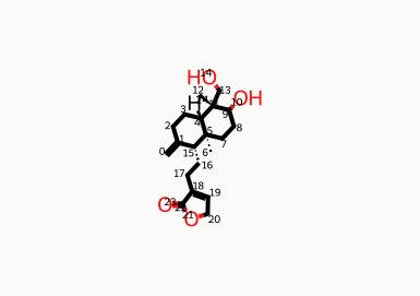 C=C1CC[C@H]2[C@@](C)(CCC(O)[C@@]2(C)CO)[C@@H]1CCC1=CCOC1=O